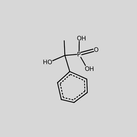 CC(O)(c1ccccc1)P(=O)(O)O